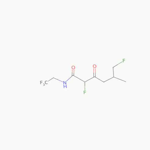 CC(CF)CC(=O)C(F)C(=O)NCC(F)(F)F